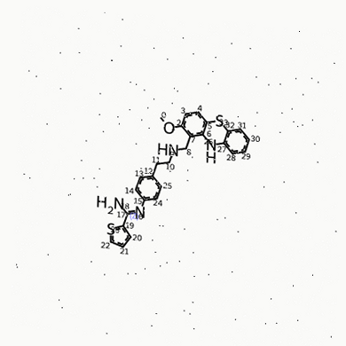 COc1ccc2c(c1CNCCc1ccc(/N=C(\N)c3cccs3)cc1)Nc1ccccc1S2